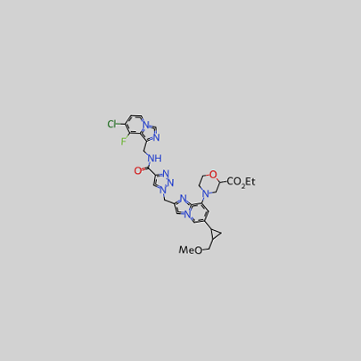 CCOC(=O)C1CN(c2cc(C3CC3COC)cn3cc(Cn4cc(C(=O)NCc5ncn6ccc(Cl)c(F)c56)nn4)nc23)CCO1